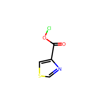 O=C(OCl)c1cscn1